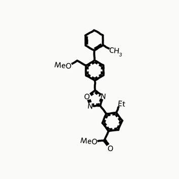 CCc1ccc(C(=O)OC)cc1-c1noc(-c2ccc(C3=C(C)CCC=C3)c(COC)c2)n1